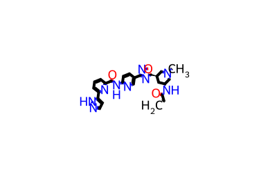 C=CC(=O)N[C@H]1C[C@@H](c2nc(-c3ccc(NC(=O)c4cccc(-c5ccn[nH]5)n4)nc3)no2)CN(C)C1